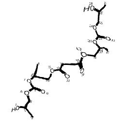 CC(O)COC(=O)OC(C)COC(=O)CC(=O)OCC(C)OC(=O)OCC(C)O